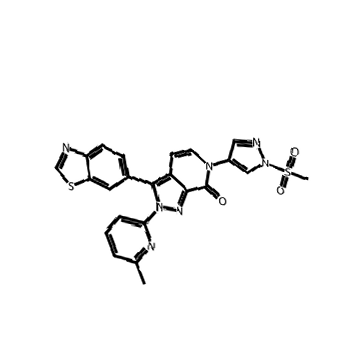 Cc1cccc(-n2nc3c(=O)n(-c4cnn(S(C)(=O)=O)c4)ccc3c2-c2ccc3ncsc3c2)n1